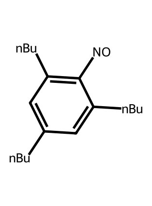 CCCCc1cc(CCCC)c(N=O)c(CCCC)c1